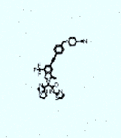 C=C1c2cc(C#Cc3ccc(CN4CCC(C#N)CC4)cc3)cc(C(F)(F)F)c2CN1C(C(=O)Nc1nccs1)c1ncn2c1CCC2